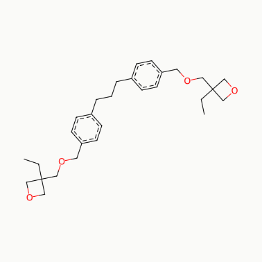 CCC1(COCc2ccc(CCCc3ccc(COCC4(CC)COC4)cc3)cc2)COC1